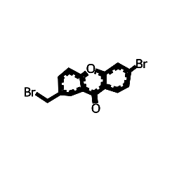 O=c1c2ccc(Br)cc2oc2ccc(CBr)cc12